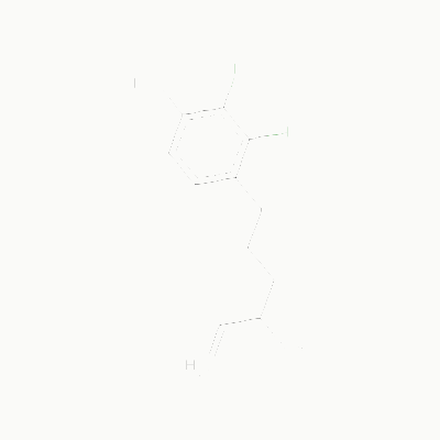 C=CC(CCC)CCCc1ccc(C)c(F)c1F